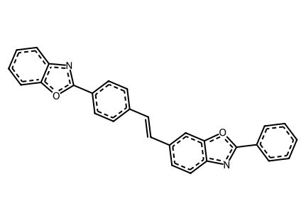 C(=Cc1ccc2nc(-c3ccccc3)oc2c1)c1ccc(-c2nc3ccccc3o2)cc1